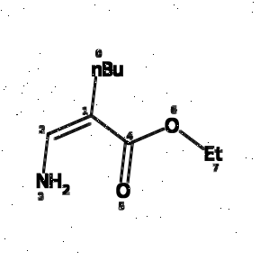 CCCCC(=CN)C(=O)OCC